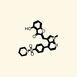 Cn1cc(C=C2Oc3cccc(O)c3C2=O)c2c(-c3ccc(S(=O)(=O)N4CCCCC4)cc3)ccnc21